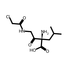 CC(C)C[C@](N)(C(=O)O)C(=O)CNC(=O)CCl